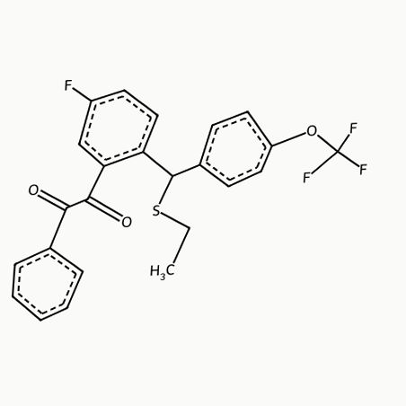 CCSC(c1ccc(OC(F)(F)F)cc1)c1ccc(F)cc1C(=O)C(=O)c1ccccc1